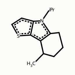 CC1CCCc2c1c1sccc1n2C(C)C